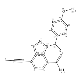 CC#Cc1ccc(C(N)=O)c2c1cnn2C(C)c1cnc(OC(F)(F)F)cn1